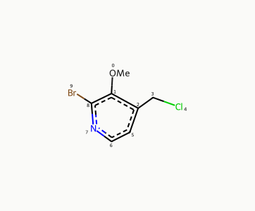 COc1c(CCl)ccnc1Br